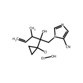 C=CC(C)C(O)(Cn1cncc1C#N)C1(Cl)CC1.CCO